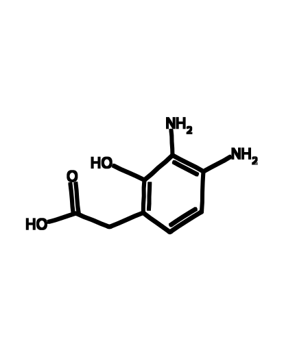 Nc1ccc(CC(=O)O)c(O)c1N